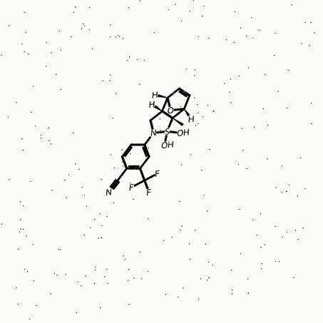 C[C@]12[C@H](CN(c3ccc(C#N)c(C(F)(F)F)c3)S1(O)O)[C@@H]1C=C[C@H]2O1